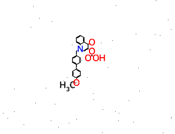 COc1ccc(-c2ccc(Cn3cc(OC(=O)O)c(=O)c4ccccc43)cc2)cc1